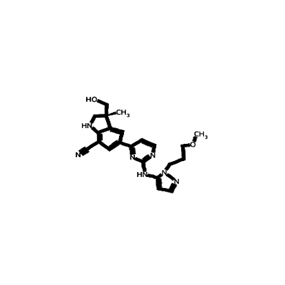 COCCCn1nccc1Nc1nccc(-c2cc(C#N)c3c(c2)[C@@](C)(CO)CN3)n1